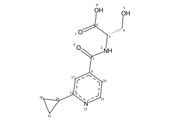 O=C(N[C@@H](CO)C(=O)O)c1ccnc(C2CC2)c1